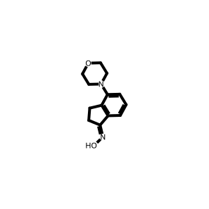 ON=C1CCc2c1cccc2N1CCOCC1